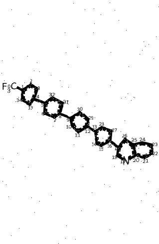 FC(F)(F)c1ccc(-c2ccc(-c3ccc(-c4ccc(-c5cnc6ccccc6c5)cc4)cc3)cc2)cc1